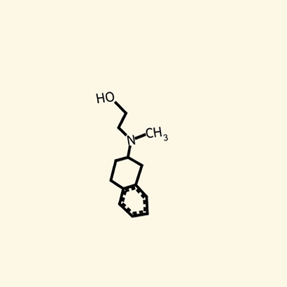 CN(CCO)C1CCc2ccccc2C1